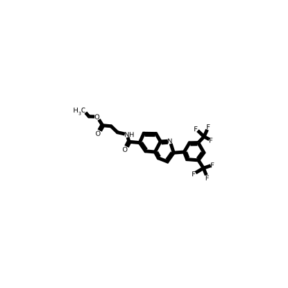 CCOC(=O)CCNC(=O)c1ccc2nc(-c3cc(C(F)(F)F)cc(C(F)(F)F)c3)ccc2c1